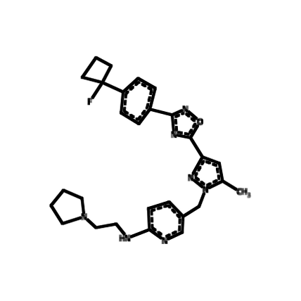 Cc1cc(-c2nc(-c3ccc(C4(F)CCC4)cc3)no2)nn1Cc1ccc(NCCN2CCCC2)nc1